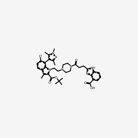 Cc1nn(C)c(C)c1-c1c(Cl)ccc2c(C)c(C(=O)OC(C)(C)C)n(CCN3CCN(C(=O)CCc4nc5c(C(=O)O)cccc5[nH]4)CC3)c12